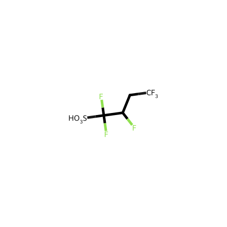 O=S(=O)(O)C(F)(F)C(F)CC(F)(F)F